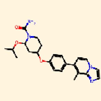 Cc1c(-c2ccc(OC3CCN(C(N)=O)C(OC(C)C)C3)cc2)ccn2ccnc12